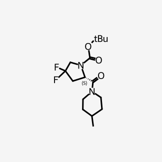 CC1CCN(C(=O)[C@@H]2CC(F)(F)CN2C(=O)OC(C)(C)C)CC1